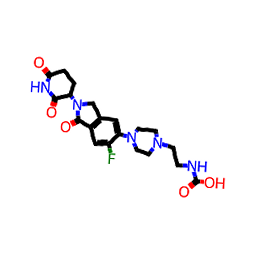 O=C(O)NCCN1CCN(c2cc3c(cc2F)C(=O)N(C2CCC(=O)NC2=O)C3)CC1